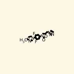 CN1CCN(c2c(F)cc(N3CC(Cn4ccnn4)OC3=O)cc2F)C=N1